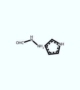 NNC=O.c1cc[nH]c1